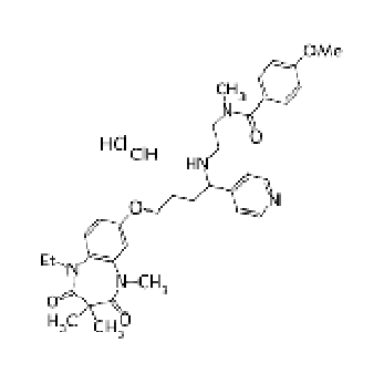 CCN1C(=O)C(C)(C)C(=O)N(C)c2cc(OCCCC(NCCN(C)C(=O)c3ccc(OC)cc3)c3ccncc3)ccc21.Cl.Cl